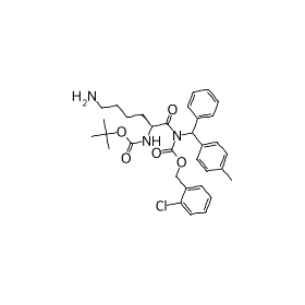 Cc1ccc(C(c2ccccc2)N(C(=O)OCc2ccccc2Cl)C(=O)[C@H](CCCCN)NC(=O)OC(C)(C)C)cc1